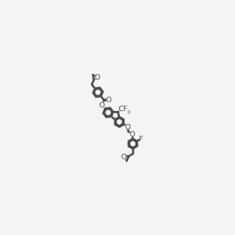 O=C(Oc1ccc2c(c1)C(C(F)(F)F)c1cc(OCOc3ccc(CC4CO4)cc3F)ccc1-2)c1ccc(CC2CO2)cc1